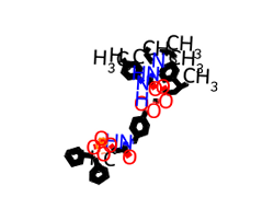 CCC(CC(=O)OCOC(=O)c1ccc(CNC(=O)C(C)OP(=O)(OCc2ccccc2)OCc2ccccc2)cc1)c1ccc(N(CC(C)C)CC(C)C)c(NC(=O)Nc2ccc(C)cc2)c1